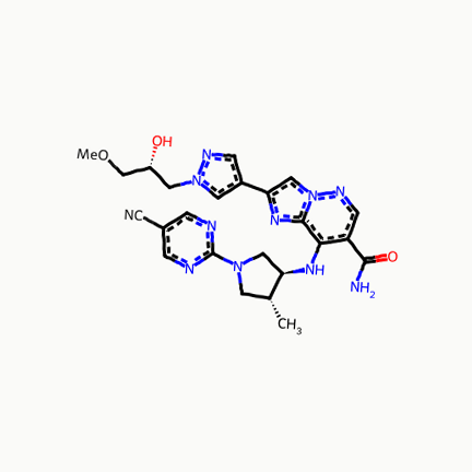 COC[C@H](O)Cn1cc(-c2cn3ncc(C(N)=O)c(N[C@@H]4CN(c5ncc(C#N)cn5)C[C@H]4C)c3n2)cn1